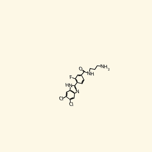 NCCCNC(=O)c1ccc(-c2nc3cc(Cl)c(Cl)cc3[nH]2)c(F)c1